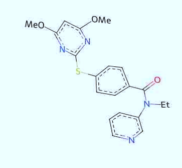 CCN(C(=O)c1ccc(Sc2nc(OC)cc(OC)n2)cc1)c1cccnc1